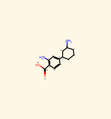 Nc1cc(C2CCCC(N)C2)ccc1C(=O)O